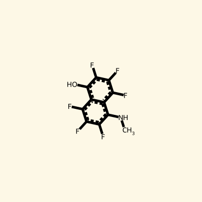 CNc1c(F)c(F)c(F)c2c(O)c(F)c(F)c(F)c12